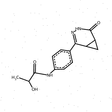 CC(O)C(=O)Nc1ccc(C2=NNC(=O)C3CC23)cc1